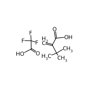 C=C(C(=O)O)C(C)(C)C.O=C(O)C(F)(F)F